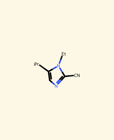 CCn1c(C(C)C)cnc1C#N